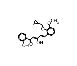 COc1cccc(C=CC(O)=CC(=O)c2ccccc2O)c1OCC1CC1